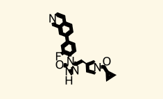 O=C(C1CC1)N1CC[C@@H](Cc2n[nH]c(=O)n2-c2ccc(-c3ccc4ccncc4c3)cc2F)C1